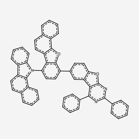 c1ccc(-c2nc(-c3ccccc3)c3c(n2)oc2ccc(-c4ccc(-n5c6ccccc6c6ccc7ccccc7c65)c5c4oc4c6ccccc6ccc45)cc23)cc1